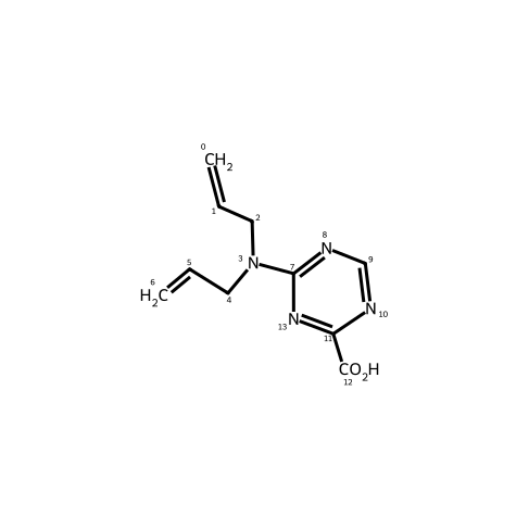 C=CCN(CC=C)c1ncnc(C(=O)O)n1